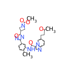 COC(=O)N1CC(c2nc(-c3ccc(C)c(NC(=O)c4cnc5ccc(CCC(C)=O)cn45)c3)no2)C1